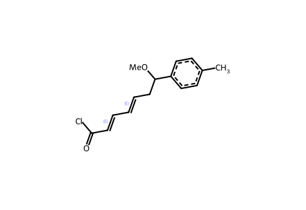 COC(C/C=C/C=C/C(=O)Cl)c1ccc(C)cc1